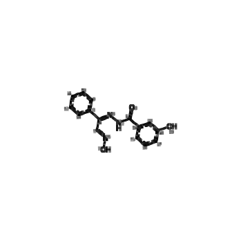 O=C(NN=C(C=NO)c1ccccc1)c1cccc(O)c1